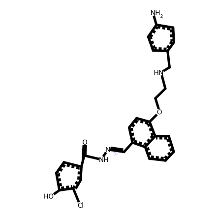 Nc1ccc(CNCCOc2ccc(/C=N/NC(=O)c3ccc(O)c(Cl)c3)c3ccccc23)cc1